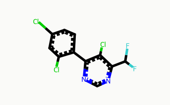 FC(F)c1ncnc(-c2ccc(Cl)cc2Cl)c1Cl